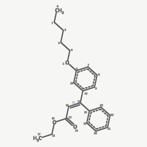 CCCCCOc1cccc(/C(=C/C(=O)OCC)c2ccccc2)c1